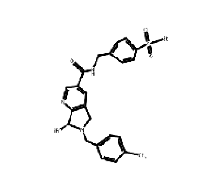 CCS(=O)(=O)c1ccc(CNC(=O)c2cnc3c(c2)CN(Cc2ccc(C(F)(F)F)cc2)[C@H]3C(C)C)cc1